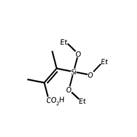 CCO[Si](OCC)(OCC)C(C)=C(C)C(=O)O